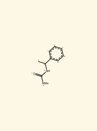 CNC(=O)NC(C)c1ccccc1